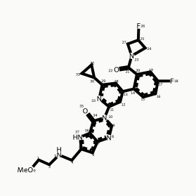 COCCNCc1cc2ncn(-c3cc(-c4ccc(F)cc4C(=O)N4CC(F)C4)cc(C4CC4)n3)c(=O)c2[nH]1